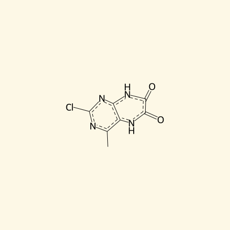 Cc1nc(Cl)nc2[nH]c(=O)c(=O)[nH]c12